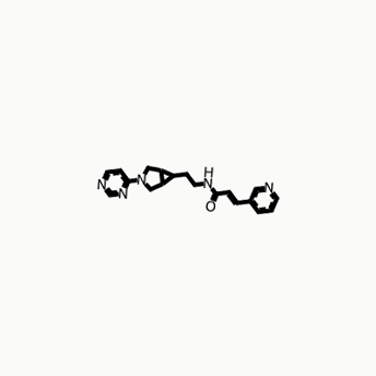 O=C(/C=C/c1cccnc1)NCCC1C2CN(c3ccncn3)CC12